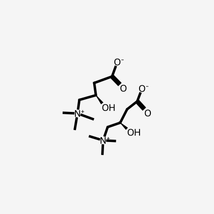 C[N+](C)(C)C[C@H](O)CC(=O)[O-].C[N+](C)(C)C[C@H](O)CC(=O)[O-]